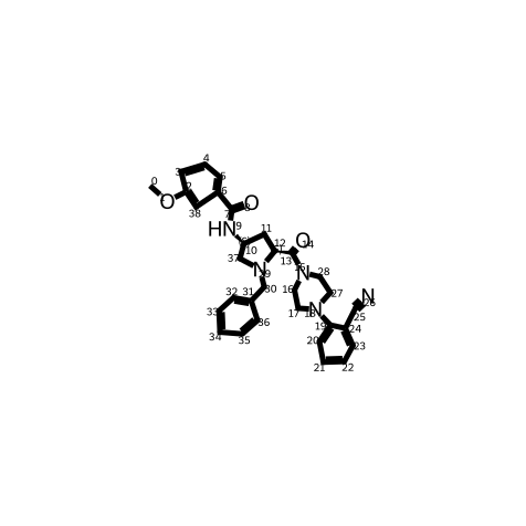 COc1cccc(C(=O)N[C@H]2C[C@@H](C(=O)N3CCN(c4ccccc4C#N)CC3)N(Cc3ccccc3)C2)c1